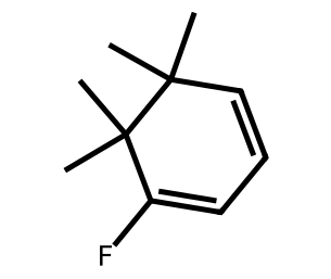 CC1(C)C=CC=C(F)C1(C)C